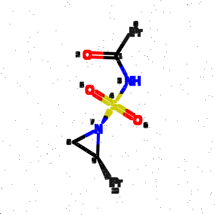 CC(C)C(=O)NS(=O)(=O)[N@]1C[C@@H]1C(C)C